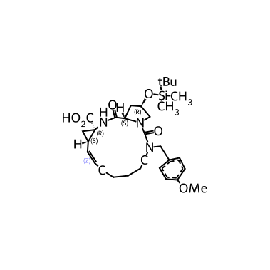 COc1ccc(CN2CCCCC/C=C\[C@@H]3C[C@@]3(C(=O)O)NC(=O)[C@@H]3C[C@@H](O[Si](C)(C)C(C)(C)C)CN3C2=O)cc1